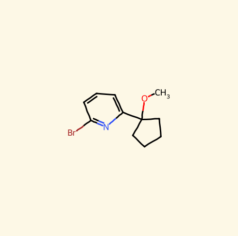 COC1(c2cccc(Br)n2)CCCC1